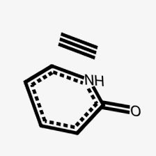 C#C.O=c1cccc[nH]1